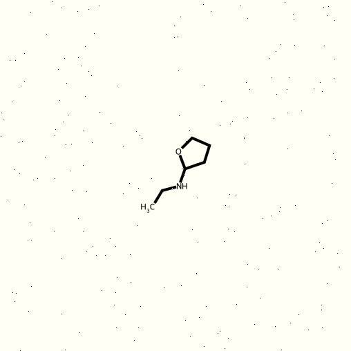 CCN[C]1CCCO1